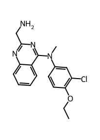 CCOc1ccc(N(C)c2nc(CN)nc3ccccc23)cc1Cl